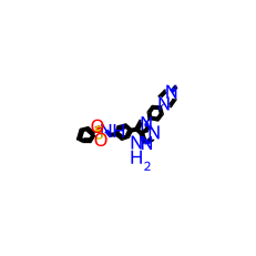 CN1CCN([C@H]2CC[C@H](n3cc(-c4ccc(CNS(=O)(=O)c5ccccc5)cc4)c4c(N)ncnc43)CC2)CC1